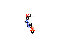 Cc1ccc(S(=O)(=O)O[C@@H]2C[C@H]3CN(c4cc(C)n(-c5ccc(OC(F)(F)F)cc5)n4)CCN3C2)cc1